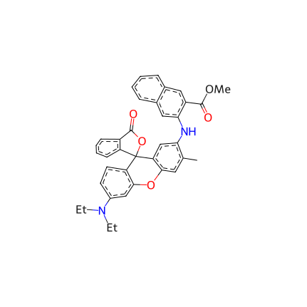 CCN(CC)c1ccc2c(c1)Oc1cc(C)c(Nc3cc4ccccc4cc3C(=O)OC)cc1C21OC(=O)c2ccccc21